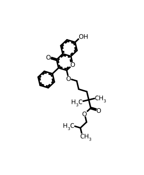 CC(C)COC(=O)C(C)(C)CCCOc1oc2cc(O)ccc2c(=O)c1-c1ccccc1